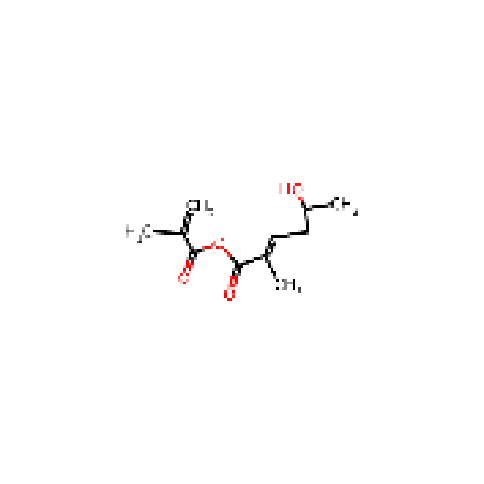 C=C(C)C(=O)OC(=O)C(C)=CCC(C)O